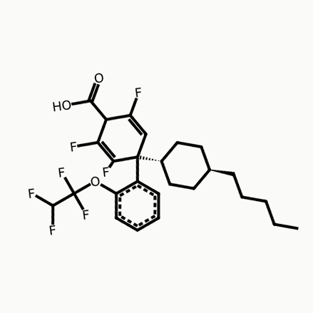 CCCCC[C@H]1CC[C@H](C2(c3ccccc3OC(F)(F)C(F)F)C=C(F)C(C(=O)O)C(F)=C2F)CC1